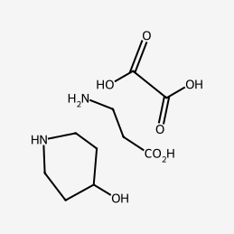 NCCC(=O)O.O=C(O)C(=O)O.OC1CCNCC1